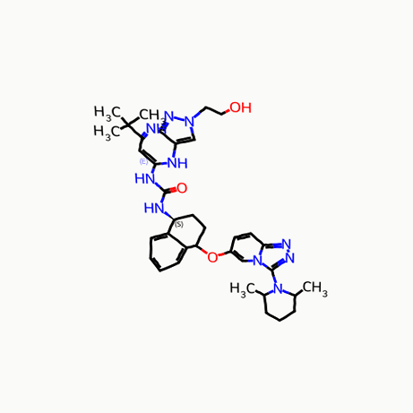 CC1CCCC(C)N1c1nnc2ccc(OC3CC[C@H](NC(=O)N/C(=C/C(=N)C(C)(C)C)Nc4cnn(CCO)c4)c4ccccc43)cn12